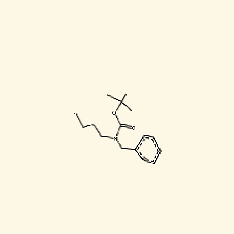 [CH2]CCCN(Cc1ccccc1)C(=O)OC(C)(C)C